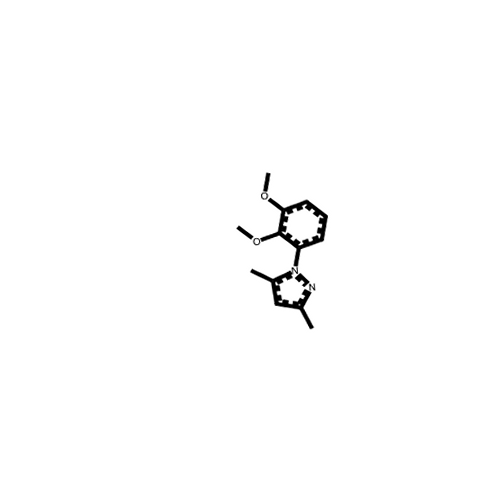 COc1cccc(-n2nc(C)cc2C)c1OC